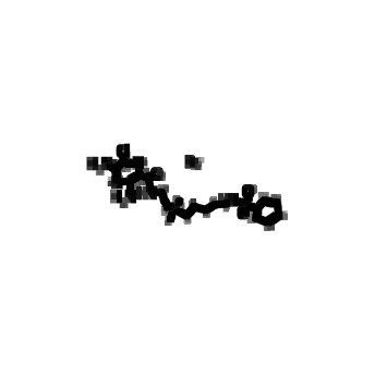 C[N+](C)(CCCCCNS(=O)(=O)c1ccccc1)CCNC(=O)c1nc(Cl)c(N)nc1N.[Br-]